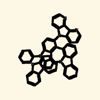 c1ccc(-n2c3ccccc3c3c(-c4cccc5c6ccccc6n(-c6ccc7oc8ccccc8c7c6)c45)c(-n4c5cccnc5c5ncccc54)ccc32)cc1